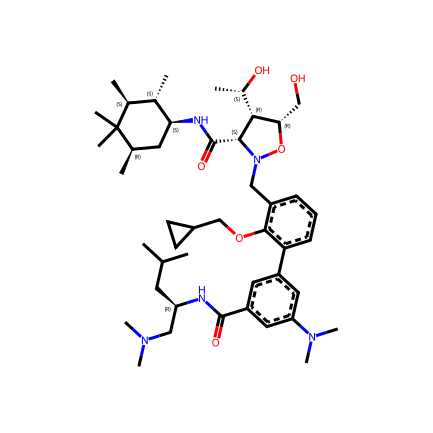 CC(C)C[C@H](CN(C)C)NC(=O)c1cc(-c2cccc(CN3O[C@@H](CO)[C@@H]([C@H](C)O)[C@H]3C(=O)N[C@H]3C[C@@H](C)C(C)(C)[C@@H](C)[C@@H]3C)c2OCC2CC2)cc(N(C)C)c1